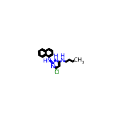 CCCCNC1=CC(Cl)=NN(Nc2cccc3ccccc23)N1